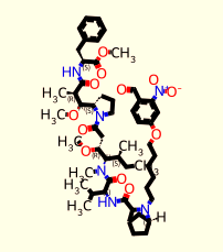 CC[C@H](C)[C@@H]([C@@H](CC(=O)N1CCC[C@H]1[C@H](OC)[C@@H](C)C(=O)N[C@@H](Cc1ccccc1)C(=O)OC)OC)N(C)C(=O)[C@@H](NC(=O)C1C2CC[C@@H](C2)N1CCCCCCOc1ccc(C=O)c([N+](=O)[O-])c1)C(C)C